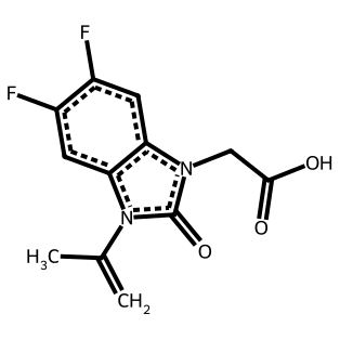 C=C(C)n1c(=O)n(CC(=O)O)c2cc(F)c(F)cc21